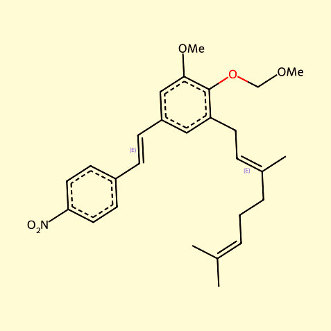 COCOc1c(C/C=C(\C)CCC=C(C)C)cc(/C=C/c2ccc([N+](=O)[O-])cc2)cc1OC